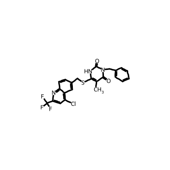 Cc1c(SCc2ccc3nc(C(F)(F)F)cc(Cl)c3c2)[nH]c(=O)n(Cc2ccccc2)c1=O